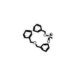 CS(=O)(=O)OCc1ccccc1.c1ccc(COCc2ccccc2)cc1